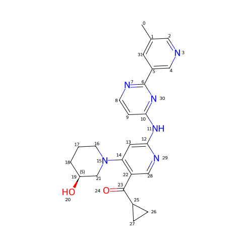 Cc1cncc(-c2nccc(Nc3cc(N4CCC[C@H](O)C4)c(C(=O)C4CC4)cn3)n2)c1